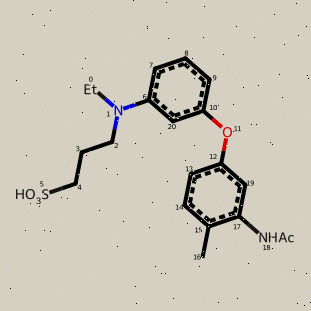 CCN(CCCS(=O)(=O)O)c1cccc(Oc2ccc(C)c(NC(C)=O)c2)c1